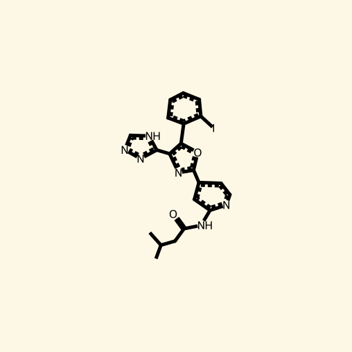 CC(C)CC(=O)Nc1cc(-c2nc(-c3nnc[nH]3)c(-c3ccccc3I)o2)ccn1